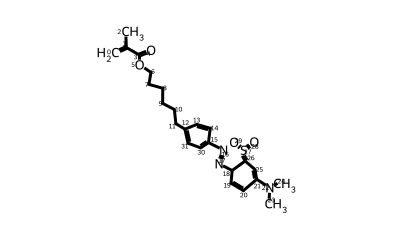 C=C(C)C(=O)OCCCCCCc1ccc(N=NC2C=CC(N(C)C)=CC2=S(=O)=O)cc1